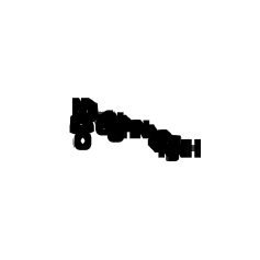 COc1ccc2nccc([C@@H]3CN(CCCNCC4=CC5=CNSN5C=C4)C(=O)O3)c2c1